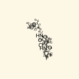 CCCC[C@@H](CCCNC(=O)C(=O)c1c(Cl)c(C(=O)Nc2ccc(F)c(F)c2)c2n1CCC2)CC(=O)OC(C)(C)C